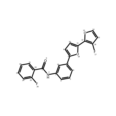 O=C(Nc1cccc(-c2ccc(-c3occc3F)o2)c1)c1ccccc1F